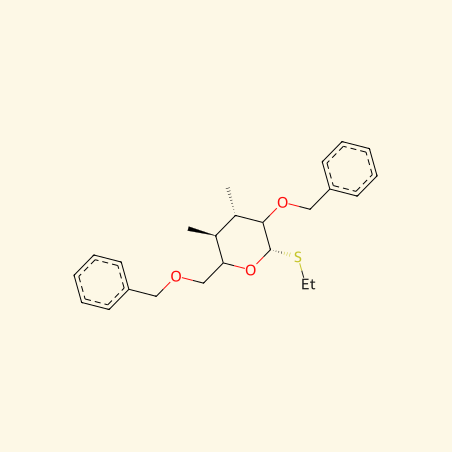 CCS[C@@H]1OC(COCc2ccccc2)[C@@H](C)[C@H](C)C1OCc1ccccc1